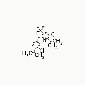 CC(C)c1ccc(Cc2nc(C(C)C)c(Cl)cc2C(F)(F)F)cc1Cl